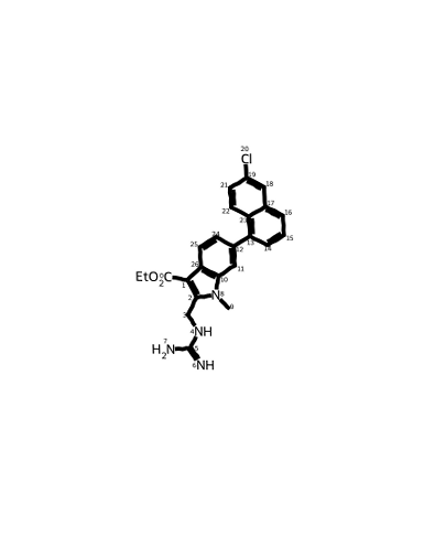 CCOC(=O)c1c(CNC(=N)N)n(C)c2cc(-c3cccc4cc(Cl)ccc34)ccc12